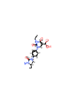 CCn1c(=O)c(C(=O)O)cn(-c2ccc(N3CC(C)NC3=O)cc2)c1=O